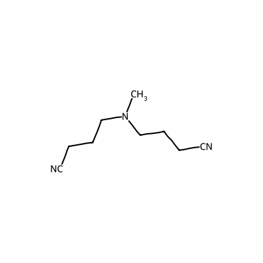 CN(CCCC#N)CCCC#N